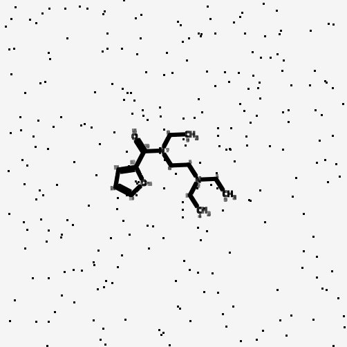 CCN(CC)CCN(CC)C(=O)c1ccco1